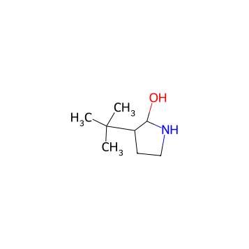 CC(C)(C)C1CCNC1O